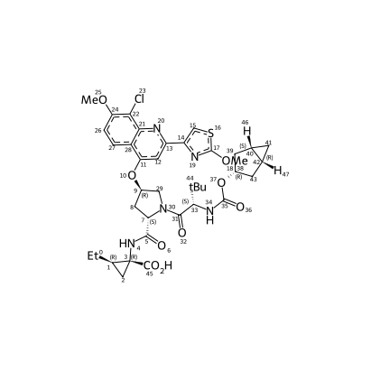 CC[C@@H]1C[C@]1(NC(=O)[C@@H]1C[C@@H](Oc2cc(-c3csc(OC)n3)nc3c(Cl)c(OC)ccc23)CN1C(=O)[C@@H](NC(=O)O[C@@H]1C[C@@H]2C[C@@H]2C1)C(C)(C)C)C(=O)O